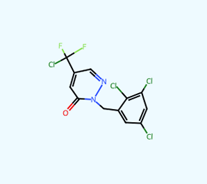 O=c1cc(C(F)(F)Cl)cnn1Cc1cc(Cl)cc(Cl)c1Cl